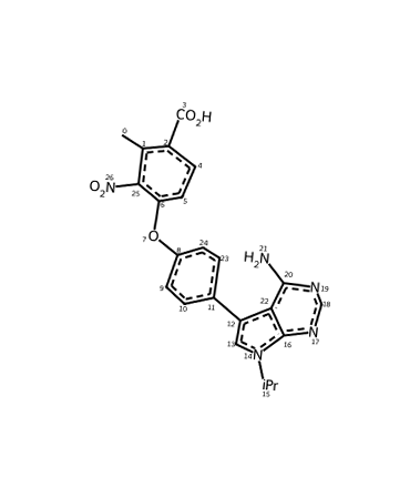 Cc1c(C(=O)O)ccc(Oc2ccc(-c3cn(C(C)C)c4ncnc(N)c34)cc2)c1[N+](=O)[O-]